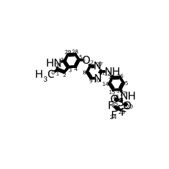 Cc1cc2cc(Oc3ccnc(Nc4ccc(NS(=O)(=O)C(F)(F)F)cc4)n3)ccc2[nH]1